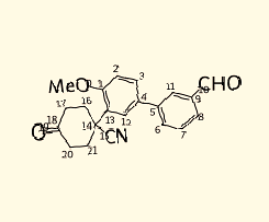 COc1ccc(-c2cccc(C=O)c2)cc1C1(C#N)CCC(=O)CC1